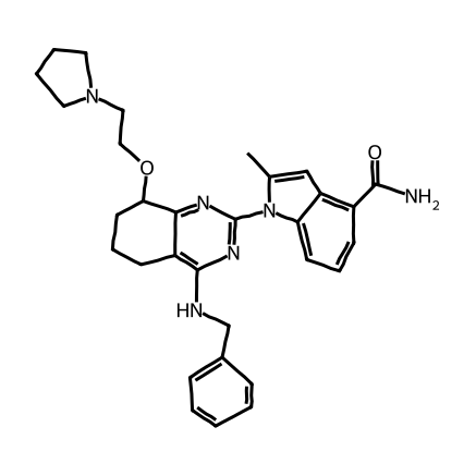 Cc1cc2c(C(N)=O)cccc2n1-c1nc(NCc2ccccc2)c2c(n1)C(OCCN1CCCC1)CCC2